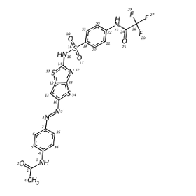 CC(=O)Nc1ccc(N=Nc2cc3sc(NS(=O)(=O)c4ccc(NC(=O)C(F)(F)F)cc4)nc3s2)cc1